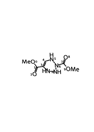 COC(=O)c1c[nH]n(C(=O)OC)[nH][nH]1